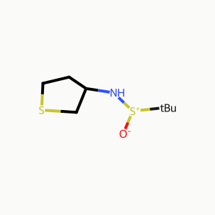 CC(C)(C)[S+]([O-])NC1CCSC1